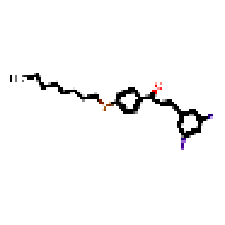 CCCCCCCCSc1ccc(C(=O)C=Cc2cc(I)cc(I)c2)cc1